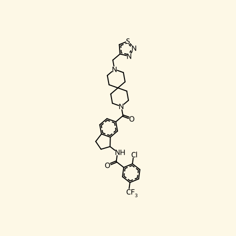 O=C(NC1CCc2ccc(C(=O)N3CCC4(CCN(Cc5csnn5)CC4)CC3)cc21)c1cc(C(F)(F)F)ccc1Cl